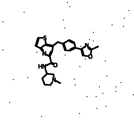 Cc1nc(-c2ccc(Cc3cc(C(=O)NC4CCCN(C)C4)nc4ccsc34)cc2)co1